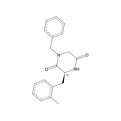 Cc1ccccc1C[C@@H]1NC(=O)CN(Cc2ccccc2)C1=O